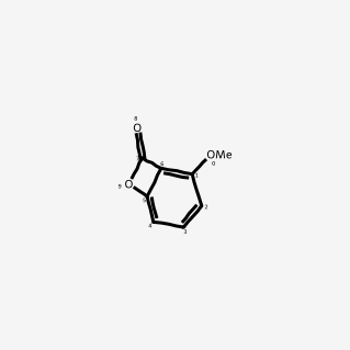 COc1cccc2c1C(=O)O2